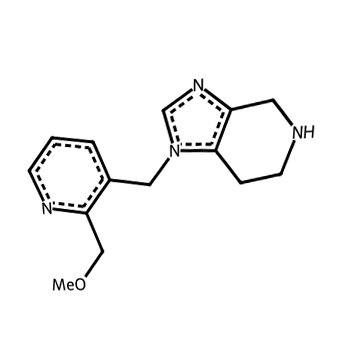 COCc1ncccc1Cn1cnc2c1CCNC2